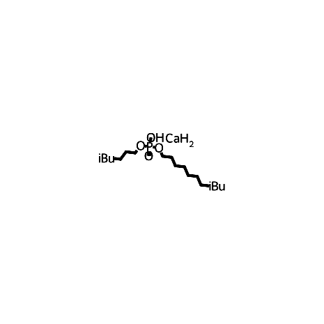 CCC(C)CCCCCCCOP(=O)(O)OCCCC(C)CC.[CaH2]